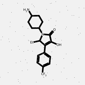 CCC1C(c2ccc(C(F)(F)F)cc2)=C(O)C(=O)N1C1CCC(N)CC1